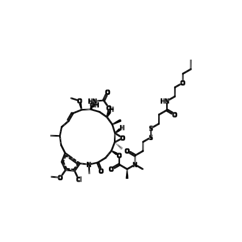 CCCOCCNC(=O)CCSSCCC(=O)N(C)[C@@H](C)C(=O)O[C@H]1CC(=O)N(C)c2cc(cc(OC)c2Cl)CC(C)C/C=C/[C@@H](OC)[C@@]2(O)C[C@H](OC(=O)N2)[C@@H](C)[C@@H]2O[C@@]12C